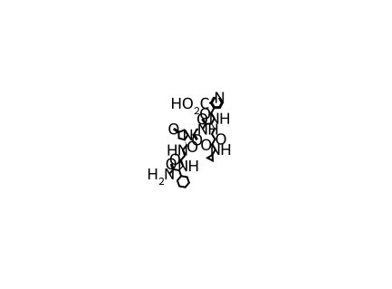 NC(=O)[C@@H](NC(=O)CNC(=O)[C@@H]1CC(=O)CN1C(=O)CNC(=O)[C@H](CCC(=O)C(=O)NC1CC1)NC(=O)c1ccncc1C(=O)O)C1CCCCC1